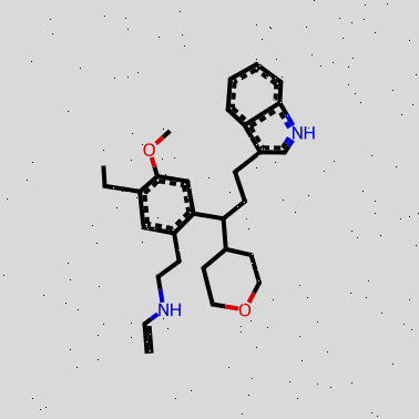 C=CNCCc1cc(CC)c(OC)cc1C(CCc1c[nH]c2ccccc12)C1CCOCC1